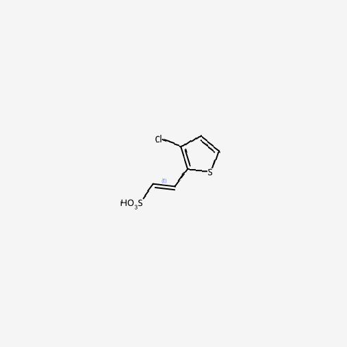 O=S(=O)(O)/C=C/c1sccc1Cl